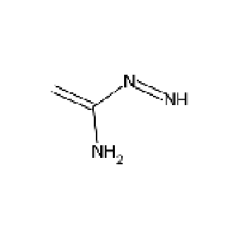 C=C(N)N=N